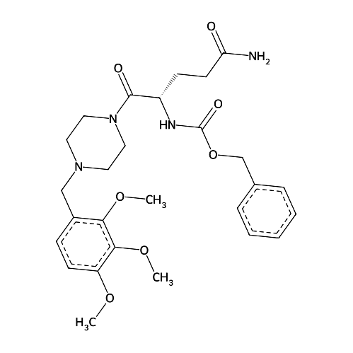 COc1ccc(CN2CCN(C(=O)[C@H](CCC(N)=O)NC(=O)OCc3ccccc3)CC2)c(OC)c1OC